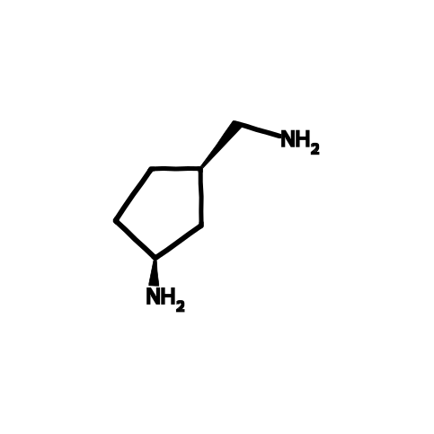 NC[C@@H]1CC[C@H](N)C1